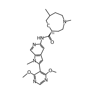 COc1ncnc(OC)c1-c1cc2cc(NC(=O)[C@H]3CCC(C)CCN(C)CC3)ncc2n1C